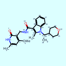 COc1cc(C)[nH]c(=O)c1CNC(=O)c1c(C)n([C@@H](C)C2CCOCC2)c2ccccc12